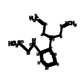 C=CCN(CC=C)c1ccccc1NCS(=O)(=O)O